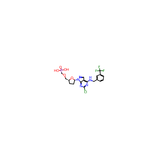 O=P(O)(O)COC[C@@H]1CC[C@H](n2ncc3c(NCc4cccc(C(F)(F)F)c4)nc(Cl)nc32)O1